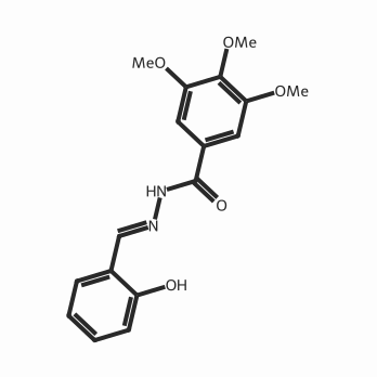 COc1cc(C(=O)NN=Cc2ccccc2O)cc(OC)c1OC